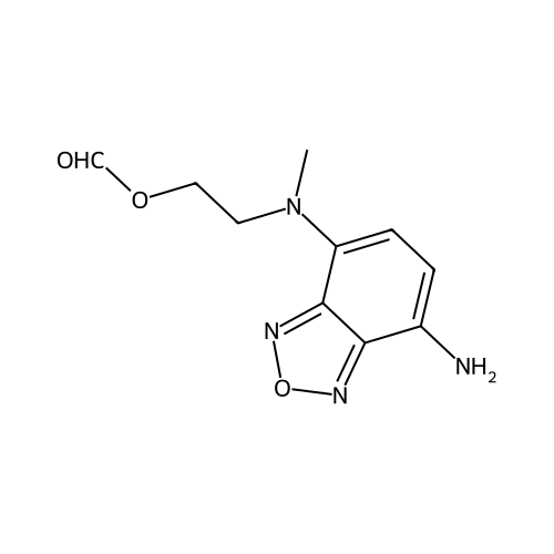 CN(CCOC=O)c1ccc(N)c2nonc12